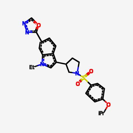 CCn1cc(C2CCN(S(=O)(=O)c3ccc(OC(C)C)cc3)C2)c2ccc(-c3nnco3)cc21